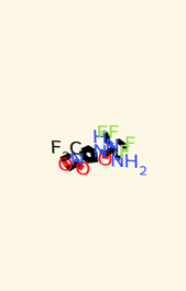 NC[C@H](C(=O)Nc1ccc(N2CCOCC2=O)c(C(F)(F)F)c1)N(CC(F)F)CC(F)F